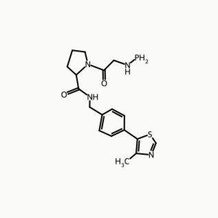 Cc1ncsc1-c1ccc(CNC(=O)C2CCCN2C(=O)CNP)cc1